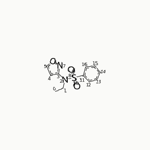 CCN(c1ccon1)S(=O)(=O)c1ccccc1